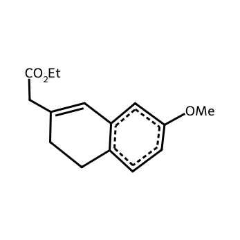 CCOC(=O)CC1=Cc2cc(OC)ccc2CC1